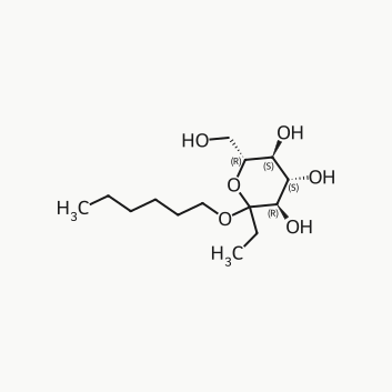 CCCCCCOC1(CC)O[C@H](CO)[C@@H](O)[C@H](O)[C@H]1O